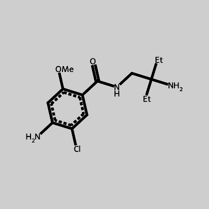 CCC(N)(CC)CNC(=O)c1cc(Cl)c(N)cc1OC